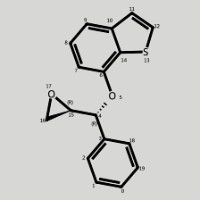 c1ccc([C@@H](Oc2cccc3ccsc23)[C@H]2CO2)cc1